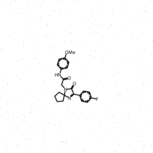 COc1ccc(NC(=O)CN2C(=O)C(c3ccc(F)cc3)=NC23CCCC3)cc1